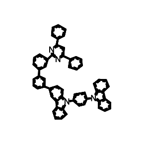 c1ccc(-c2cc(-c3ccccc3)nc(-c3cccc(-c4cccc(-c5ccc6c(c5)c5ccccc5n6-c5ccc(-n6c7ccccc7c7ccccc76)cc5)c4)c3)n2)cc1